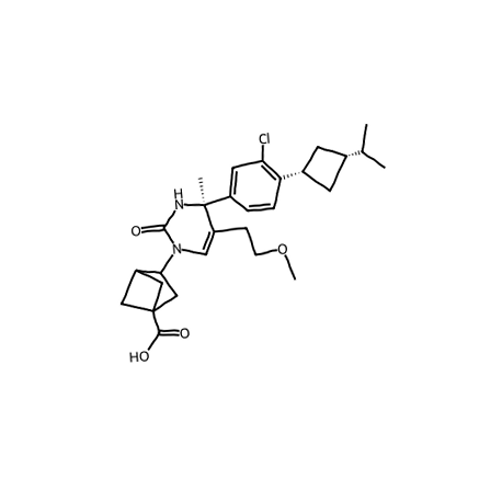 COCCC1=CN(C2CC3(C(=O)O)CC2C3)C(=O)N[C@@]1(C)c1ccc([C@H]2C[C@@H](C(C)C)C2)c(Cl)c1